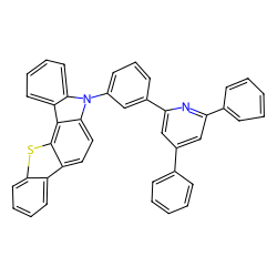 c1ccc(-c2cc(-c3ccccc3)nc(-c3cccc(-n4c5ccccc5c5c6sc7ccccc7c6ccc54)c3)c2)cc1